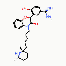 C[C@H]1CCC[C@@](C)(CCCCCN2C(=O)C(c3cc(C(=N)N)ccc3O)Oc3ccccc32)N1